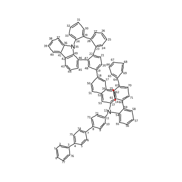 c1ccc(-c2ccc(-c3ccc(N(c4ccc5cc(-c6ccc7c8ccccc8c8ccccc8n8c9ccccc9c9cccc(c7c6)c98)ccc5c4)c4ccccc4-c4ccc(-c5ccccc5)cc4)cc3)cc2)cc1